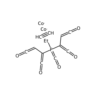 C#C.CCP(=C=O)(C(=C=O)C=C=O)C(=C=O)C=C=O.[Co].[Co]